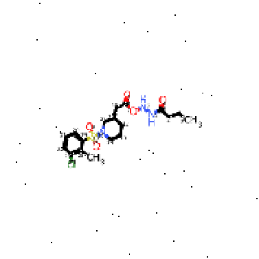 CCCC(=O)NNOC(=O)CC1CCCN(S(=O)(=O)c2cccc(Cl)c2C)C1